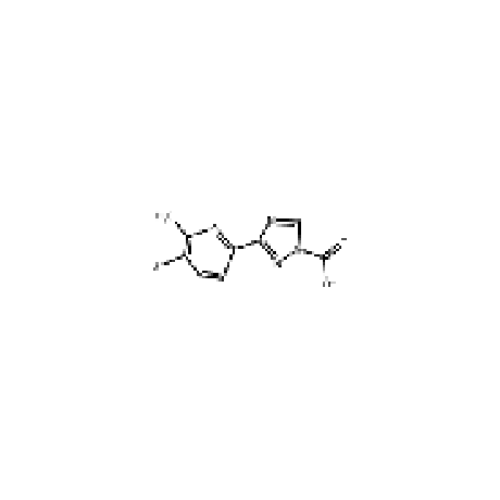 Cc1nc(-c2ncn(C(=O)O)n2)ccc1Br